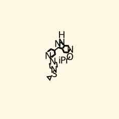 CC(C)Oc1cc2c(-c3ccnc(N4CCN(SC5CC5)CC4)c3)n[nH]c2cn1